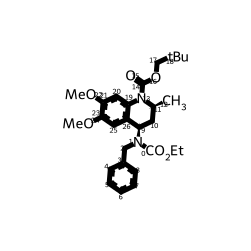 CCOC(=O)N(Cc1ccccc1)[C@@H]1C[C@H](C)N(C(=O)OCC(C)(C)C)c2cc(OC)c(OC)cc21